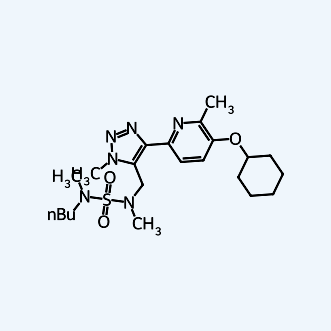 CCCCN(C)S(=O)(=O)N(C)Cc1c(-c2ccc(OC3CCCCC3)c(C)n2)nnn1C